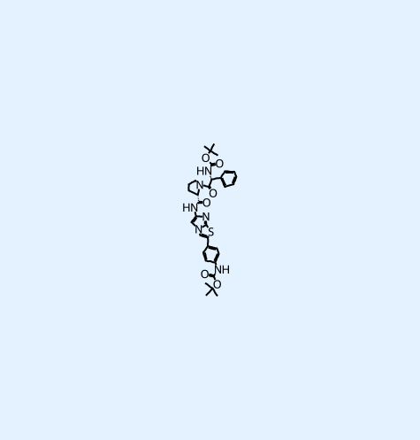 CC(C)(C)OC(=O)Nc1ccc(-c2cn3cc(NC(=O)[C@@H]4CCCN4C(=O)[C@H](NC(=O)OC(C)(C)C)c4ccccc4)nc3s2)cc1